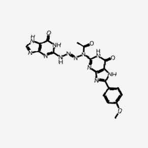 COc1ccc(-c2nc3nc(N(N=NNc4nc5nc[nH]c5c(=O)[nH]4)C(C)=O)[nH]c(=O)c3[nH]2)cc1